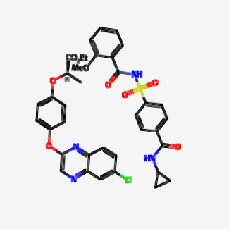 CCOC(=O)[C@@H](C)Oc1ccc(Oc2cnc3cc(Cl)ccc3n2)cc1.COc1ccccc1C(=O)NS(=O)(=O)c1ccc(C(=O)NC2CC2)cc1